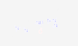 Cc1nn(-c2ccccc2)nc1C(=O)Nc1ccc(N(C)C2CC2)nc1